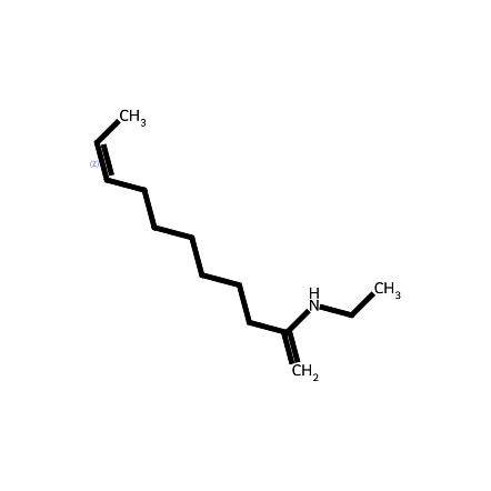 C=C(CCCCCC/C=C\C)NCC